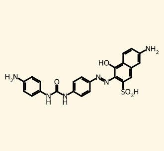 Nc1ccc(NC(=O)Nc2ccc(/N=N/c3c(S(=O)(=O)O)cc4cc(N)ccc4c3O)cc2)cc1